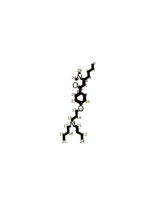 CCCC/C(=C/C(=O)c1ccc(OCCCN(CCCC)CCCC)cc1)N(C)C